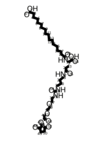 O=C(O)CCCCCCCCCCCCCCCCC(=O)N[C@@H](CCC(=O)NCCCCNC(=O)NCCOCCOCC(=O)ON1C(=O)CCC1=O)C(=O)O